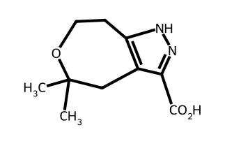 CC1(C)Cc2c(C(=O)O)n[nH]c2CCO1